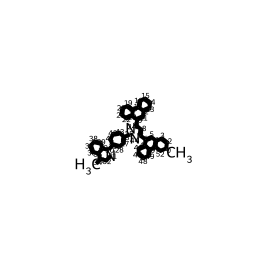 CC1C=Cc2cc(-c3cc(-c4cc5ccccc5c5ccccc45)nc(C4=CC=C(C5=NCC(C)C6C=CC=CC56)CC=C4)n3)c3ccccc3c2C1